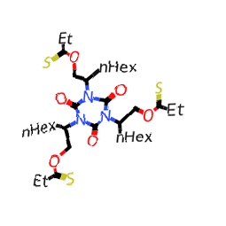 CCCCCCC(COC(=S)CC)n1c(=O)n(C(CCCCCC)COC(=S)CC)c(=O)n(C(CCCCCC)COC(=S)CC)c1=O